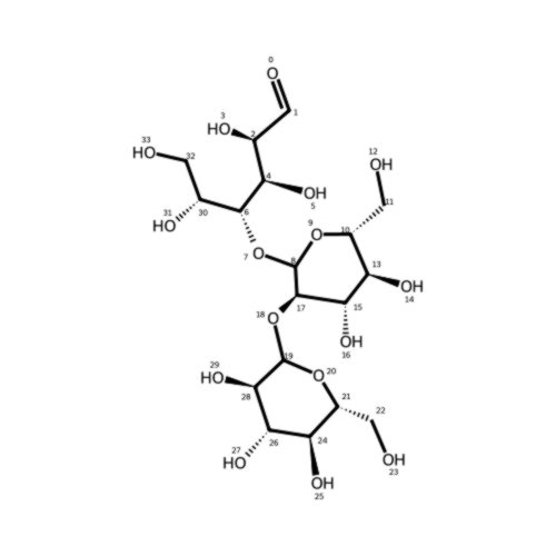 O=C[C@H](O)[C@@H](O)[C@H](OC1O[C@H](CO)[C@@H](O)[C@H](O)[C@H]1OC1O[C@H](CO)[C@@H](O)[C@H](O)[C@H]1O)[C@H](O)CO